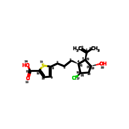 C=C(C)[C@@H]1[C@@H](CCCc2ccc(C(=O)O)s2)[C@H](Cl)C[C@H]1O